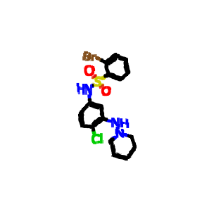 O=S(=O)(Nc1ccc(Cl)c(NN2CCCCC2)c1)c1ccccc1Br